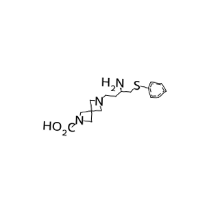 N[C@H](CCN1CC2(C1)CN(C(=O)O)C2)CSc1ccccc1